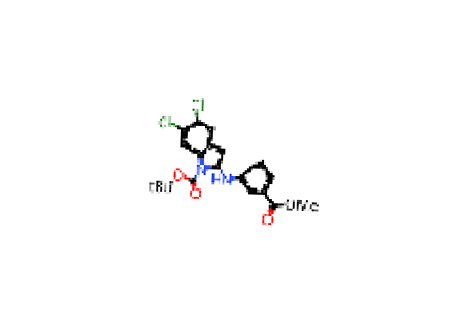 COC(=O)c1cccc(Nc2cc3cc(Cl)c(Cl)cc3n2C(=O)OC(C)(C)C)c1